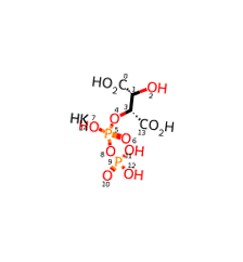 O=C(O)[C@H](O)[C@@H](OP(=O)(O)OP(=O)(O)O)C(=O)O.[KH]